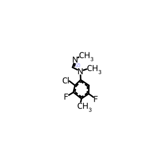 C/N=C\N(C)c1cc(F)c(C)c(F)c1Cl